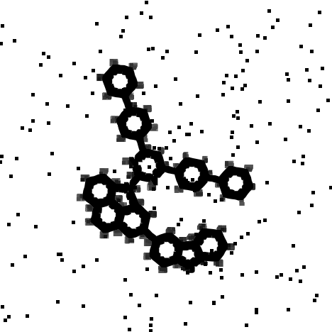 c1ccc(-c2ccc(-c3cc(-c4ccc(-c5ccccc5)cc4)nc(-n4c5cccc6ccc7cc(-c8ccc9sc%10ccccc%10c9c8)cc4c7c65)n3)cc2)cc1